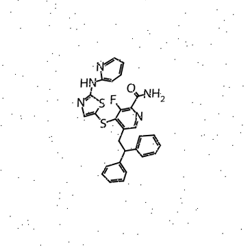 NC(=O)c1ncc(CC(c2ccccc2)c2ccccc2)c(Sc2cnc(Nc3ccccn3)s2)c1F